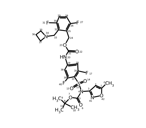 Cc1cc(N(C(=O)OC(C)(C)C)S(=O)(=O)c2c(F)cc(NC(=O)OCc3c(F)ccc(F)c3CN3CCC3)cc2F)no1